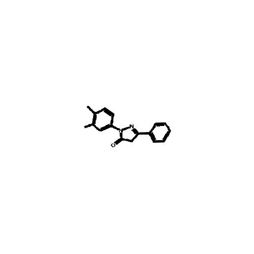 Cc1ccc(N2N=C(c3ccccc3)CC2=O)cc1C